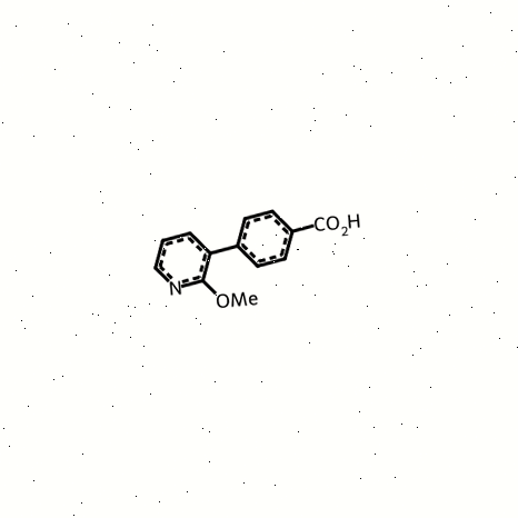 COc1ncccc1-c1ccc(C(=O)O)cc1